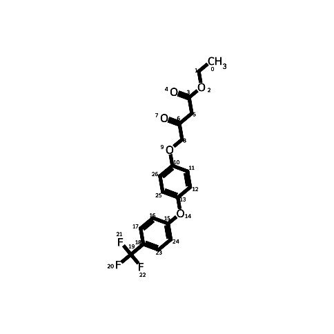 CCOC(=O)CC(=O)COc1ccc(Oc2ccc(C(F)(F)F)cc2)cc1